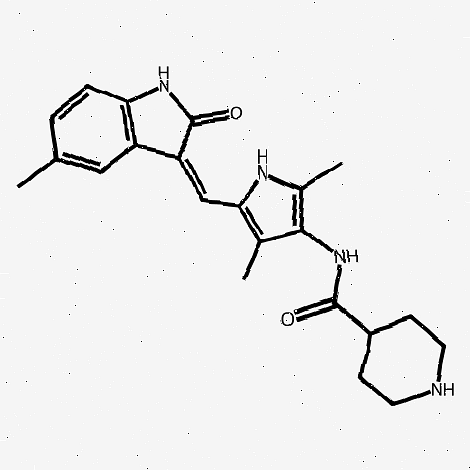 Cc1ccc2c(c1)/C(=C/c1[nH]c(C)c(NC(=O)C3CCNCC3)c1C)C(=O)N2